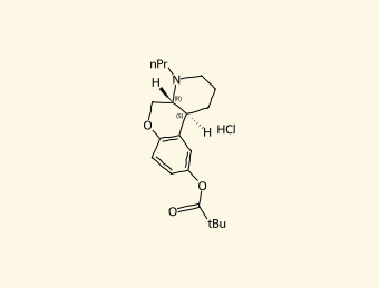 CCCN1CCC[C@H]2c3cc(OC(=O)C(C)(C)C)ccc3OC[C@@H]21.Cl